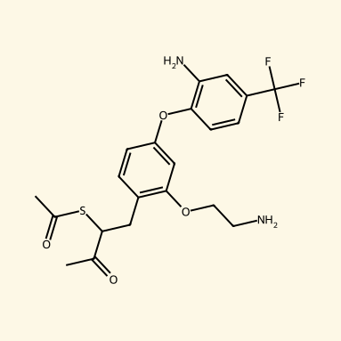 CC(=O)SC(Cc1ccc(Oc2ccc(C(F)(F)F)cc2N)cc1OCCN)C(C)=O